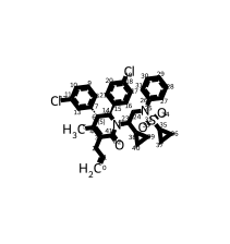 C=CCC1=C(C)[C@H](c2cccc(Cl)c2)[C@@H](c2ccc(Cl)cc2)N(C(CN(c2ccccc2)S(=O)(=O)C2CC2)C2CC2)C1=O